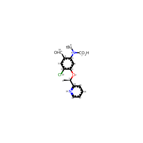 C[C@@H](Oc1cc(N(C(=O)O)C(C)(C)C)c(C=O)cc1Cl)c1ccccn1